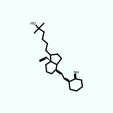 C=C[C@]12CCC/C(=C\C=C3\CCCCC3=N)C1CCC2CCCCC(C)(C)O